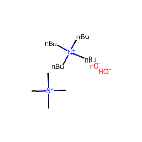 CCCC[N+](CCCC)(CCCC)CCCC.C[N+](C)(C)C.[OH-].[OH-]